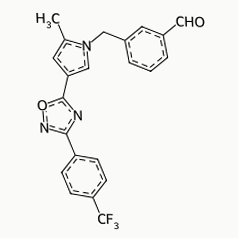 Cc1cc(-c2nc(-c3ccc(C(F)(F)F)cc3)no2)cn1Cc1cccc(C=O)c1